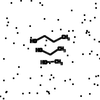 CCCO.CCO.CO